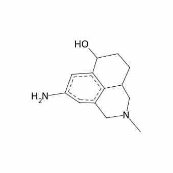 CN1Cc2cc(N)cc3c2C(CCC3O)C1